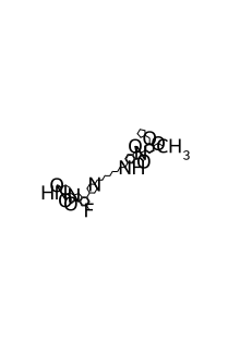 COc1ccc(N2C(=O)c3ccc(NCCCCCCCN4CCC(c5cc(F)cc6c5CN(C5CCC(=O)NC5=O)C6=O)CC4)cc3C2=O)cc1OC1CCCC1